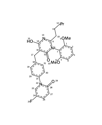 COc1cccc(OC)c1-n1c(CCC(C)C)nc(O)c(Cc2ccc(-n3cc(F)ccc3=O)cc2)c1=O